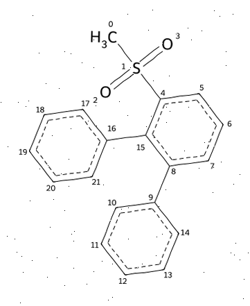 CS(=O)(=O)c1cccc(-c2ccccc2)c1-c1ccccc1